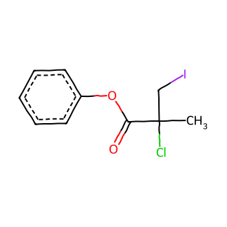 CC(Cl)(CI)C(=O)Oc1ccccc1